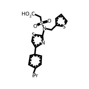 CC(C)c1ccc(-c2csc(N(Cc3cccs3)S(=O)(=O)CC(=O)O)n2)cc1